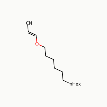 CCCCCCCCCCCCOC=CC#N